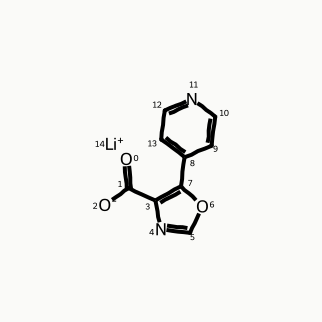 O=C([O-])c1ncoc1-c1ccncc1.[Li+]